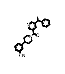 CC(c1ccccc1)c1cncc(C(=O)N2CCC(c3cccc(C#N)c3)CC2)c1